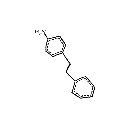 Nc1ccc(CCc2ccccc2)cc1